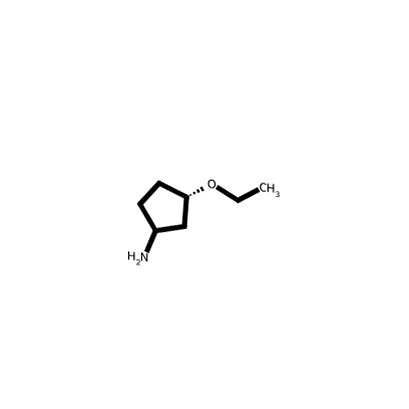 CCO[C@H]1CCC(N)C1